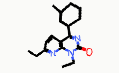 CCc1ccc2c(C3CCCC(C)C3)nc(=O)n(CC)c2n1